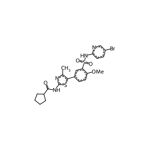 COc1ccc(-c2sc(NC(=O)C3CCCC3)nc2C)cc1S(=O)(=O)Nc1ccc(Br)cn1